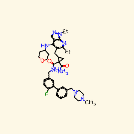 CCc1nc2c(cnn2CC)c(NC2CCOCC2)c1CC1CC1(C(N)=O)C(=O)NCc1ccc(F)c(-c2cccc(CN3CCN(C)CC3)c2)c1